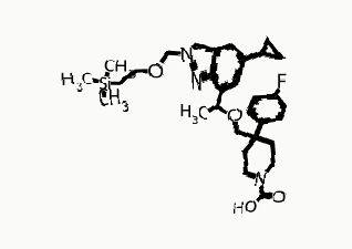 CC(OCC1(c2ccc(F)cc2)CCN(C(=O)O)CC1)c1cc(C2CC2)cc2cn(COCC[Si](C)(C)C)nc12